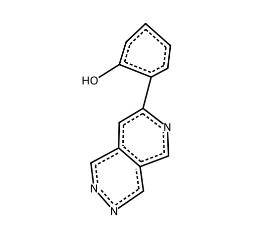 Oc1ccccc1-c1cc2cnncc2cn1